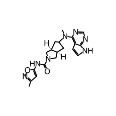 Cc1cc(NC(=O)N2C[C@H]3CC(N(C)c4ncnc5[nH]ccc45)C[C@H]3C2)on1